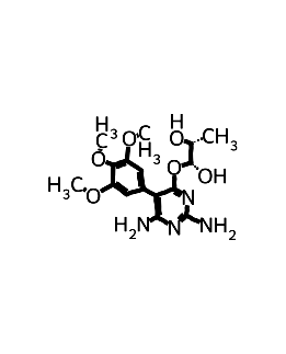 COc1cc(-c2c(N)nc(N)nc2O[C@@H](O)[C@@H](C)O)cc(OC)c1OC